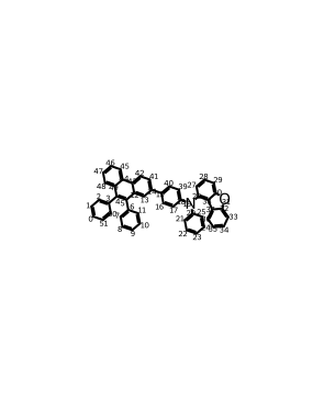 c1ccc(-c2c(-c3ccccc3)c3cc(-c4ccc(N(c5ccccc5)c5cccc6oc7ccccc7c56)cc4)ccc3c3ccccc23)cc1